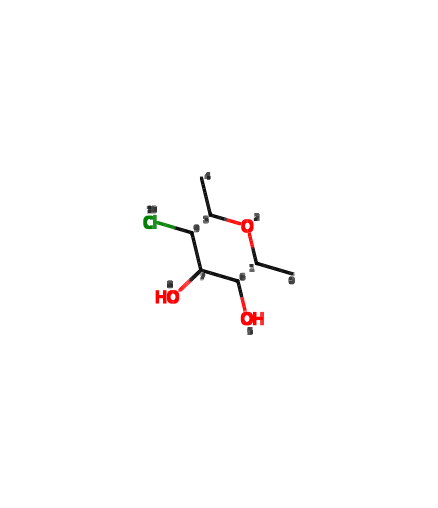 CCOCC.OCC(O)CCl